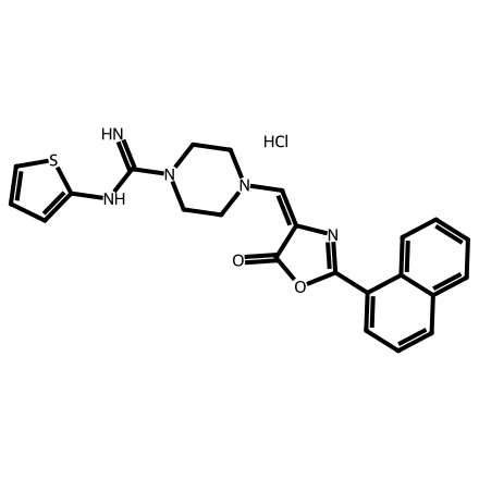 Cl.N=C(Nc1cccs1)N1CCN(/C=C2/N=C(c3cccc4ccccc34)OC2=O)CC1